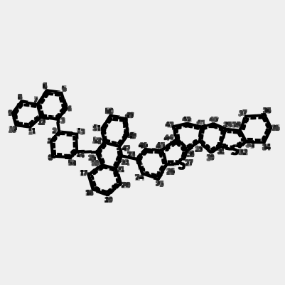 c1cc(-c2cccc3ccccc23)cc(-c2c3ccccc3c(-c3ccc4sc5c6cc7sc8ccccc8c7cc6ccc5c4c3)c3ccccc23)c1